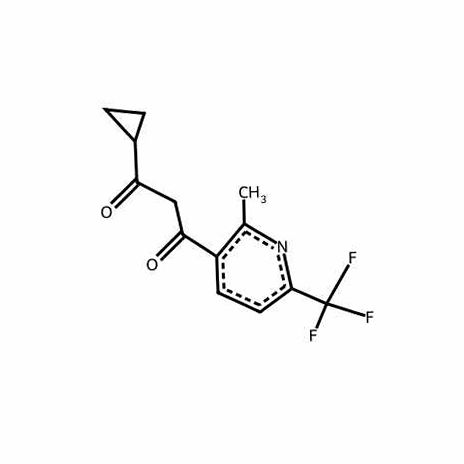 Cc1nc(C(F)(F)F)ccc1C(=O)CC(=O)C1CC1